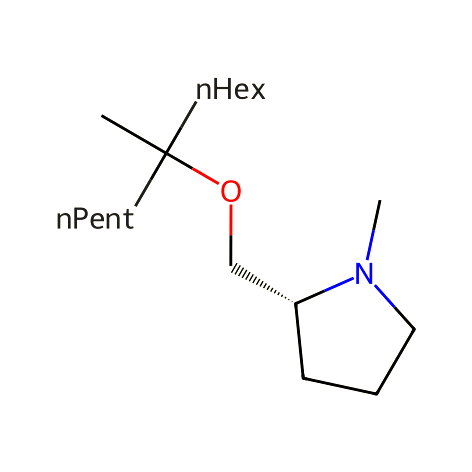 CCCCCCC(C)(CCCCC)OC[C@H]1CCCN1C